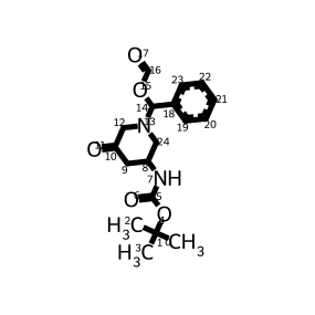 CC(C)(C)OC(=O)NC1CC(=O)CN(C(OC=O)c2ccccc2)C1